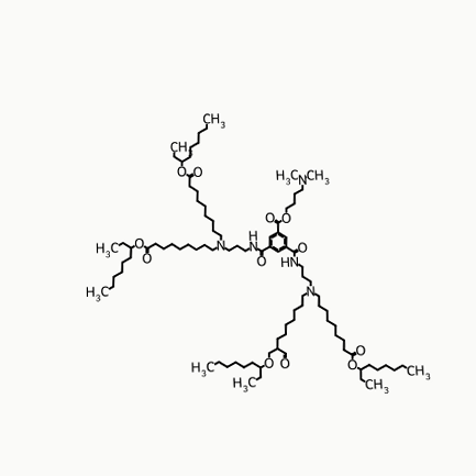 CCCCCCC(CC)OCC(C=O)CCCCCCCN(CCCCCCCCC(=O)OC(CC)CCCCCC)CCCNC(=O)c1cc(C(=O)NCCCN(CCCCCCCCC(=O)OC(CC)CCCCCC)CCCCCCCCC(=O)OC(CC)CCCCCC)cc(C(=O)OCCCCN(C)C)c1